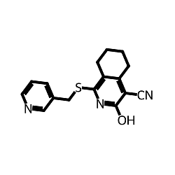 N#Cc1c(O)nc(SCc2cccnc2)c2c1CCCC2